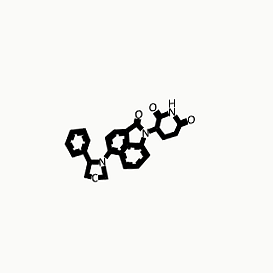 O=C1CCC(N2C(=O)c3ccc(N4CCCC4c4ccccc4)c4cccc2c34)C(=O)N1